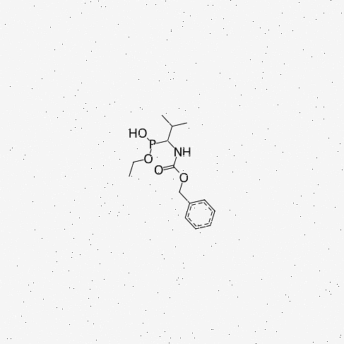 CCOP(O)C(NC(=O)OCc1ccccc1)C(C)C